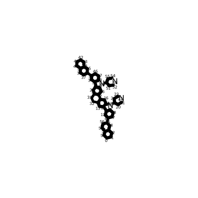 c1ccc2cc(-c3ccc4c(c3)c3cc5c(cc3n4-c3ccncc3)-c3cc4c(cc3CC5)c3cc(-c5ccc6ccccc6c5)ccc3n4-c3ccncc3)ccc2c1